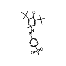 CC1(N=Nc2ccc(S(C)(=O)=O)cc2)C=C(C(C)(C)C)C(=O)C(C(C)(C)C)=C1